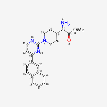 COC(=O)[C@H](N)C1CCN(c2nccc(-c3ccc4ccccc4c3)n2)CC1